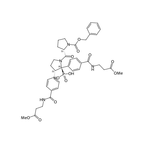 COC(=O)CCNC(=O)c1ccc([C@@H]2CCN(C(=O)[C@@H]3CCCN3C(=O)OCc3ccccc3)[C@@]2(c2ccc(C(=O)NCCC(=O)OC)cc2)P(=O)(O)O)cc1